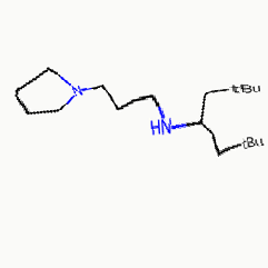 CC(C)(C)CC(CC(C)(C)C)NCCCN1CCCC1